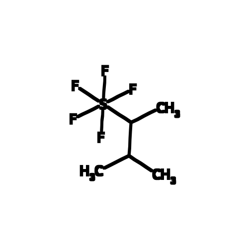 CC(C)C(C)S(F)(F)(F)(F)F